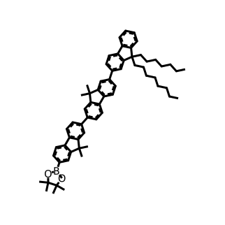 CCCCCCCCC1(CCCCCCC)c2ccccc2-c2ccc(-c3ccc4c(c3)C(C)(C)c3cc(-c5ccc6c(c5)C(C)(C)c5cc(B7OC(C)(C)C(C)(C)O7)ccc5-6)ccc3-4)cc21